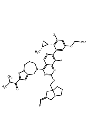 COCOc1cc(Cl)c([C@H]2C[C@H]2C)c(-c2ncc3c(N4CCCn5nc(C(=O)N(C)C)cc5C4)nc(OCC45CCCN4C/C(=C\F)C5)nc3c2F)c1